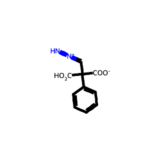 N=[N+]=CC(C(=O)[O-])(C(=O)O)c1ccccc1